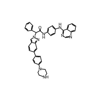 O=C(Nc1ccc(Nc2ncnc3ccccc23)cc1)C(c1ccccc1)n1cc2ccc(-c3ccc(N4CCNCC4)cc3)cc2n1